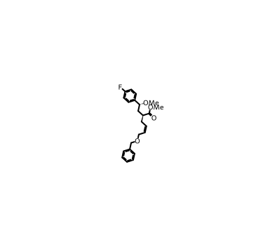 COC(=O)[C@@H](C/C=C\COCc1ccccc1)C[C@@H](OC)c1ccc(F)cc1